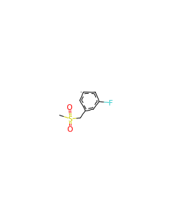 CS(=O)(=O)Cc1c[c]cc(F)c1